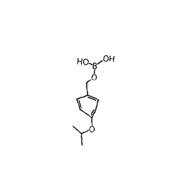 CC(C)Oc1ccc(COB(O)O)cc1